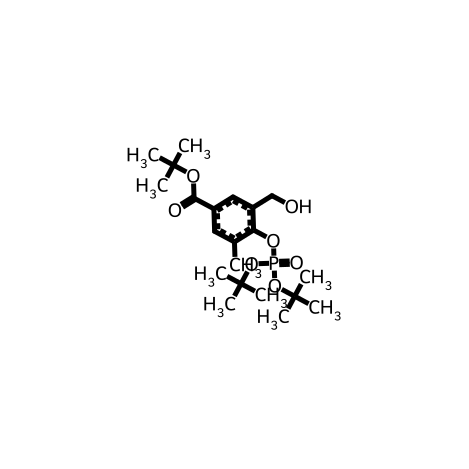 Cc1cc(C(=O)OC(C)(C)C)cc(CO)c1OP(=O)(OC(C)(C)C)OC(C)(C)C